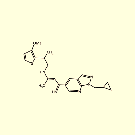 COc1ccsc1C(C)CN/C(C)=C/C(=N)c1cnc2c(cnn2CC2CC2)c1